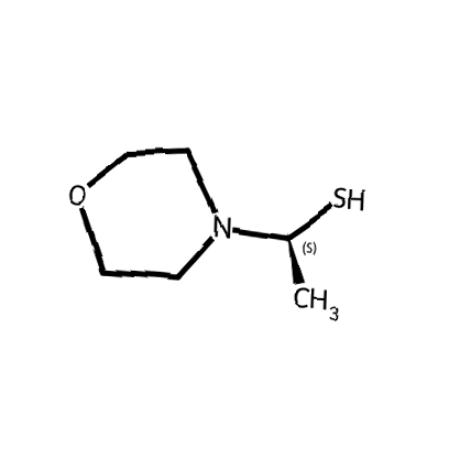 C[C@H](S)N1CCOCC1